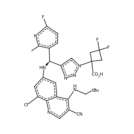 Cc1nc(F)ccc1[C@H](Nc1cc(Cl)c2ncc(C#N)c(NCC(C)(C)C)c2c1)c1cn(C2(C(=O)O)CC(F)(F)C2)nn1